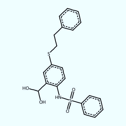 O=S(=O)(Nc1ccc(SCCc2ccccc2)cc1C(O)O)c1ccccc1